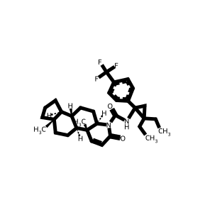 CCC1(CC)CC1(NC(=O)N1C(=O)C=C[C@]2(C)[C@H]3CC[C@]4(C)CCC[C@H]4[C@@H]3CC[C@@H]12)c1ccc(C(F)(F)F)cc1